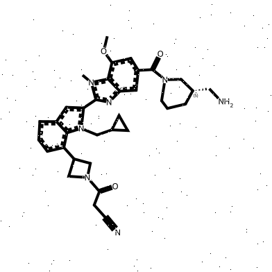 COc1cc(C(=O)N2CCC[C@@H](CN)C2)cc2nc(-c3cc4cccc(C5CN(C(=O)CC#N)C5)c4n3CC3CC3)n(C)c12